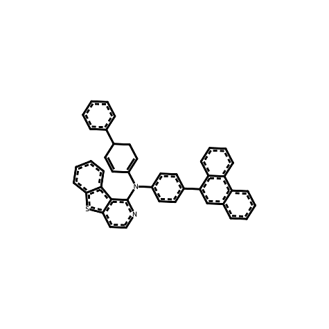 C1=CC(c2ccccc2)CC=C1N(c1ccc(-c2cc3ccccc3c3ccccc23)cc1)c1nccc2sc3ccccc3c12